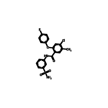 Cc1cc(C(=O)Nc2cccc(S(N)(=O)=O)c2)c(Oc2ccc(F)cc2)cc1Cl